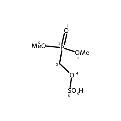 COP(=O)(COS(=O)(=O)O)OC